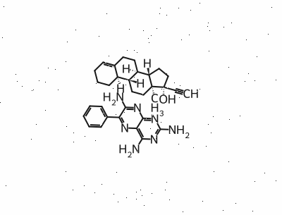 C#C[C@]1(O)CC[C@H]2[C@@H]3CCC4=CCCC[C@@H]4[C@H]3CC[C@@]21C.Nc1nc(N)c2nc(-c3ccccc3)c(N)nc2n1